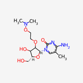 Cc1cn([C@@H]2O[C@H](CO)C(O)C2OCCON(C)C)c(=O)nc1N